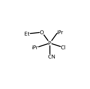 CCOP(Cl)(C#N)(C(C)C)C(C)C